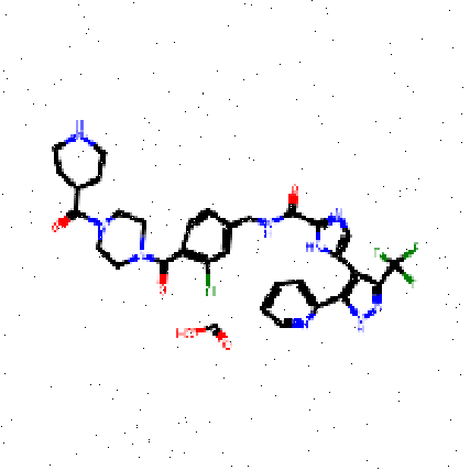 O=C(NCc1ccc(C(=O)N2CCN(C(=O)C3CCNCC3)CC2)c(Cl)c1)c1ncc(-c2c(C(F)(F)F)n[nH]c2-c2ccccn2)[nH]1.O=CO